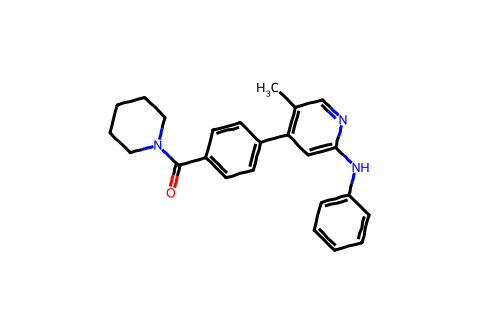 Cc1cnc(Nc2ccccc2)cc1-c1ccc(C(=O)N2CCCCC2)cc1